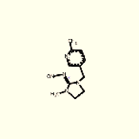 Cc1ccc(CN2CCN(C)/C2=N\N=O)cn1